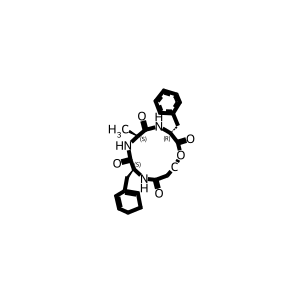 C[C@@H]1NC(=O)[C@H](CC2=CCCC=C2)NC(=O)CCOC(=O)[C@@H](Cc2ccccc2)NC1=O